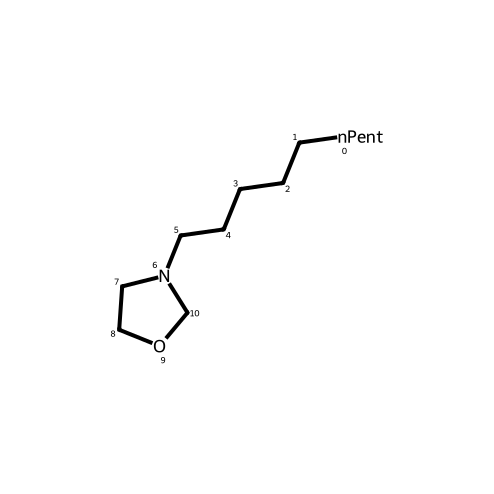 CCCCCCCCCCN1CCOC1